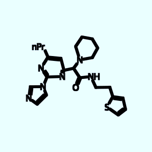 CCCc1cc(C(C(=O)NCCc2cccs2)N2CCCCC2)nc(-n2ccnc2)n1